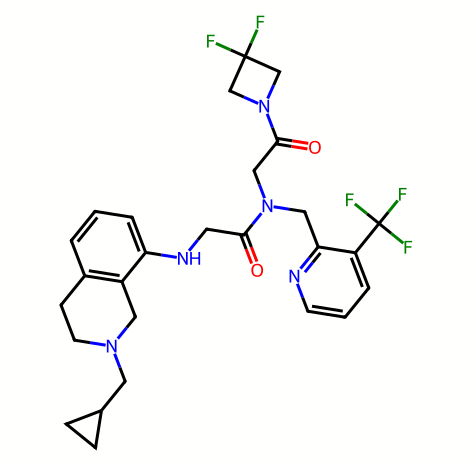 O=C(CNc1cccc2c1CN(CC1CC1)CC2)N(CC(=O)N1CC(F)(F)C1)Cc1ncccc1C(F)(F)F